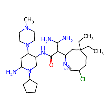 CCC1(CC)CCC(Cl)/C=N\C(C(C(=O)NC2CN(C3CCCC3)C(N)CC2N2CCN(C)CC2)C(N)N)C1